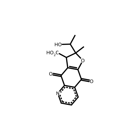 CC(O)C1(C)OC2=C(C(=O)c3ncccc3C2=O)C1C(=O)O